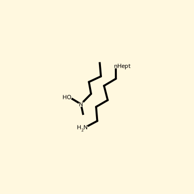 CCCCCCCCCCCCN.CCCCN(C)O